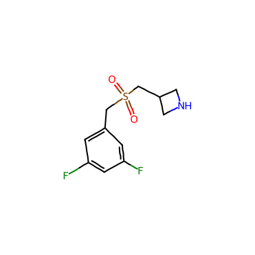 O=S(=O)(Cc1cc(F)cc(F)c1)CC1CNC1